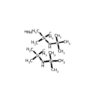 C[Si](C)(C)N[Si](C)(C)C.C[Si](C)(C)N[Si](C)(C)C.[NaH]